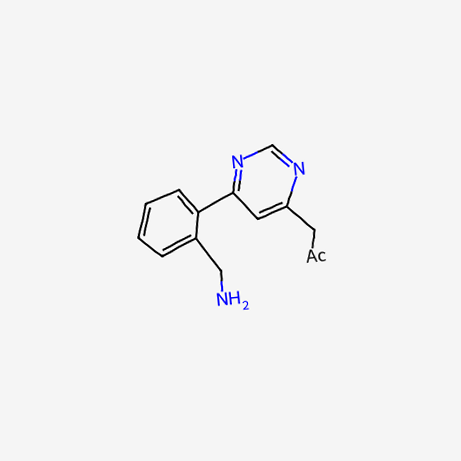 CC(=O)Cc1cc(-c2ccccc2CN)ncn1